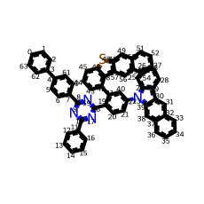 c1ccc(-c2ccc(-c3nc(-c4ccccc4)nc(-c4ccc(-n5c6ccccc6c6cc7ccccc7cc65)cc4-c4cccc5sc6cc7ccccc7cc6c45)n3)cc2)cc1